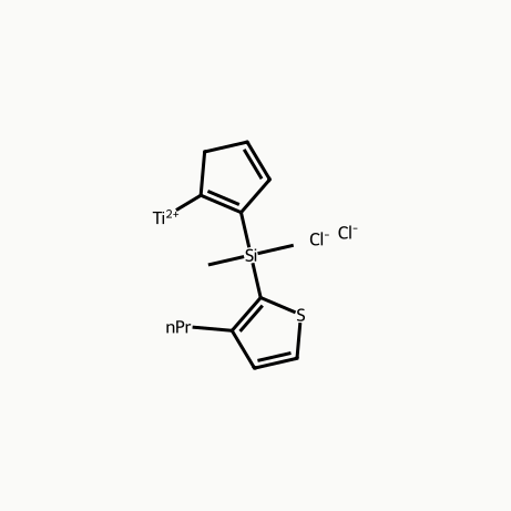 CCCc1ccsc1[Si](C)(C)C1=[C]([Ti+2])CC=C1.[Cl-].[Cl-]